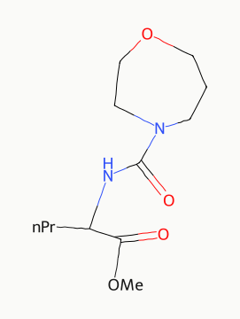 CCCC(NC(=O)N1CCCOCC1)C(=O)OC